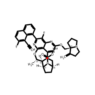 C#Cc1c(F)ccc2cccc(-c3nc4c5c(nc(OC[C@@]67CCCN6CCC7=C)nc5c3F)N3C[C@H]5CC[C@@H]([C@H]3[C@H](C)O4)N5C(=O)OC(C)(C)C)c12